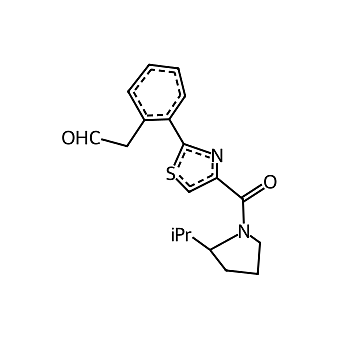 CC(C)C1CCCN1C(=O)c1csc(-c2ccccc2CC=O)n1